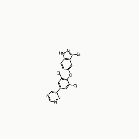 CCc1n[nH]c2ccc(Oc3c(Cl)cc(-c4cncnn4)cc3Cl)cc12